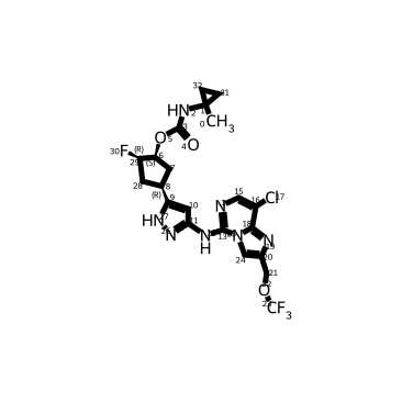 CC1(NC(=O)O[C@H]2C[C@@H](c3cc(Nc4ncc(Cl)c5nc(COC(F)(F)F)cn45)n[nH]3)C[C@H]2F)CC1